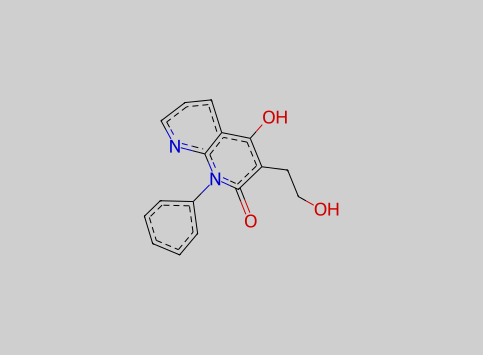 O=c1c(CCO)c(O)c2cccnc2n1-c1ccccc1